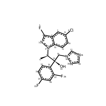 C[C@@H](n1nc(F)c2cc(Cl)ccc21)[C@](O)(Cn1cncn1)c1ccc(F)cc1F